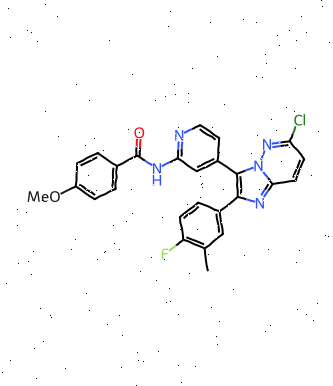 COc1ccc(C(=O)Nc2cc(-c3c(-c4ccc(F)c(C)c4)nc4ccc(Cl)nn34)ccn2)cc1